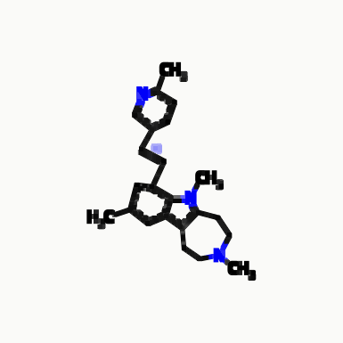 Cc1cc(/C=C/c2ccc(C)nc2)c2c(c1)c1c(n2C)CCN(C)CC1